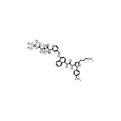 CCCCc1cc(NC(=O)Nc2ccc(OCc3ccnc(NC(=O)C(C)(C)N(C)C(=O)OC(C)(C)C)c3)c3ccccc23)n(-c2ccc(C)cc2)n1